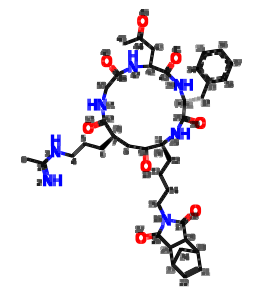 CC(=N)NCCC[C@@H]1CC(=O)[C@H](CCCCN2C(=O)C3C4C=CC(C4)C3C2=O)NC(=O)[C@@H](Cc2ccccc2)NC(=O)C(CC(C)=O)NC(=O)CNC1=O